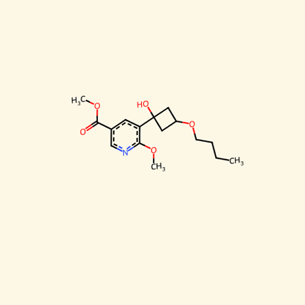 CCCCOC1CC(O)(c2cc(C(=O)OC)cnc2OC)C1